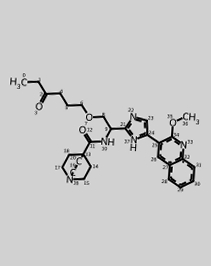 CCC(=O)CCCOCC(NC(=O)C12CCN(CC1)CC2)c1ncc(-c2cc3ccccc3nc2OC)[nH]1